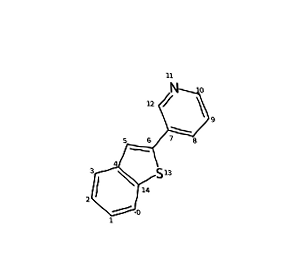 [c]1cccc2cc(-c3cccnc3)sc12